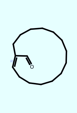 O=C/C1=C\CCCCCCCCCCCCC1